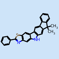 CC1(C)c2ccccc2-c2cc3c(cc21)[nH]c1cc2nc(-c4ccccc4)sc2cc13